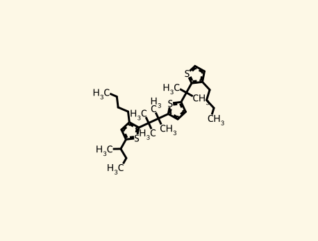 CCCCc1ccsc1C(C)(C)c1ccc(C(C)(C)C(C)(C)c2sc(C(C)CC)cc2CCCC)s1